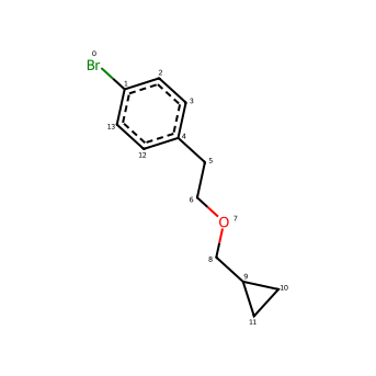 Brc1ccc(CCOCC2CC2)cc1